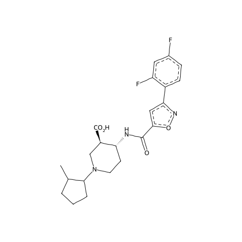 CC1CCCC1N1CC[C@@H](NC(=O)c2cc(-c3ccc(F)cc3F)no2)[C@H](C(=O)O)C1